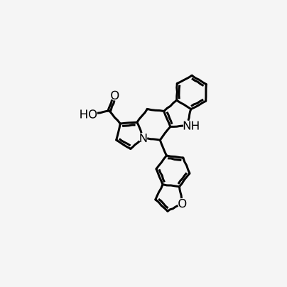 O=C(O)c1ccn2c1Cc1c([nH]c3ccccc13)C2c1ccc2occc2c1